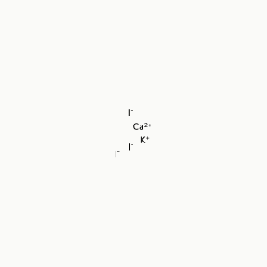 [Ca+2].[I-].[I-].[I-].[K+]